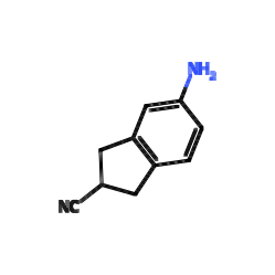 N#CC1Cc2ccc(N)cc2C1